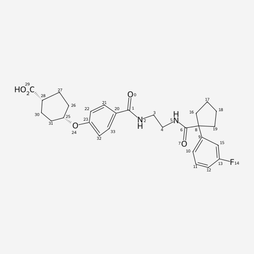 O=C(NCCNC(=O)C1(c2cccc(F)c2)CCCC1)c1ccc(O[C@H]2CC[C@@H](C(=O)O)CC2)cc1